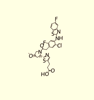 CO[C@H]1C[C@@H](c2ncc(CCC(=O)O)s2)N(C(=O)Cc2cc(Cl)c(Nc3nc4cc(F)ccc4s3)cc2F)C1